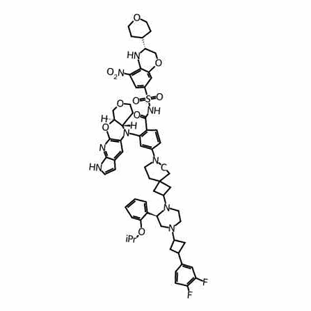 CC(C)Oc1ccccc1[C@@H]1CN(C2CC(c3ccc(F)c(F)c3)C2)CCN1C1CC2(CCN(c3ccc(C(=O)NS(=O)(=O)c4cc5c(c([N+](=O)[O-])c4)N[C@H](C4CCOCC4)CO5)c(N4c5cc6cc[nH]c6nc5O[C@H]5COCC[C@@H]54)c3)CC2)C1